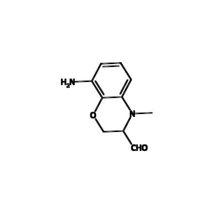 CN1c2cccc(N)c2OCC1C=O